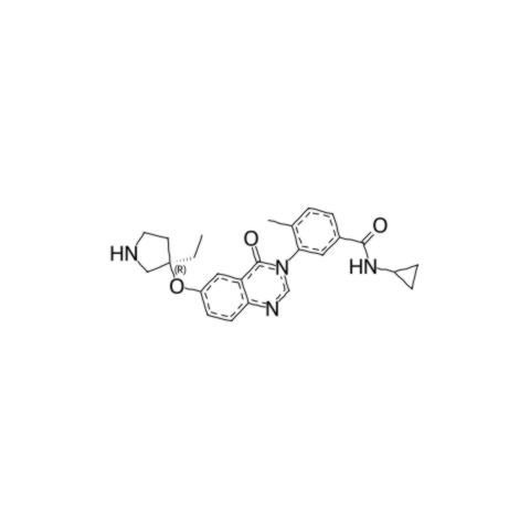 CC[C@@]1(Oc2ccc3ncn(-c4cc(C(=O)NC5CC5)ccc4C)c(=O)c3c2)CCNC1